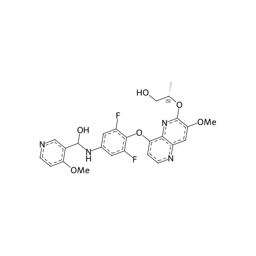 COc1ccncc1C(O)Nc1cc(F)c(Oc2ccnc3cc(OC)c(O[C@@H](C)CO)nc23)c(F)c1